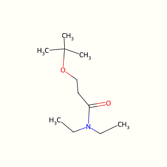 CCN(CC)C(=O)CCOC(C)(C)C